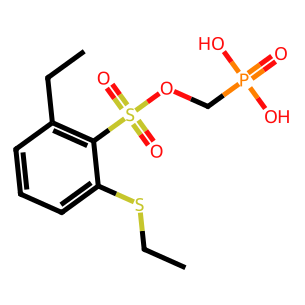 CCSc1cccc(CC)c1S(=O)(=O)OCP(=O)(O)O